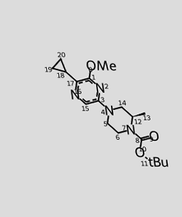 COc1nc(N2CCN(C(=O)OC(C)(C)C)[C@H](C)C2)cnc1C1CC1